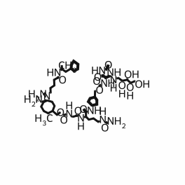 CC(Cc1ccccc1)NC(=O)CCCCN(N)/C1=C(\N)CCC(C)C(COC(=O)NCC(=O)NC(CCCNC(N)=O)C(=O)Nc2ccc(COC(=O)Nc3c(NCC(O)C(O)C(O)CO)[nH]c(=O)[nH]c3=O)cc2)CC1